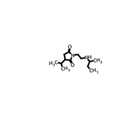 CCC(C)NCCN1C(=O)CC(C(C)C)C1=O